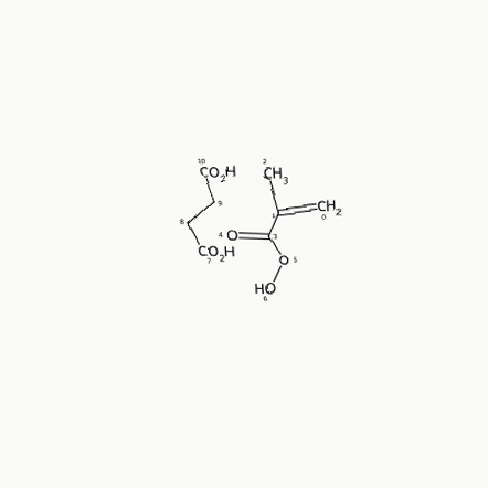 C=C(C)C(=O)OO.O=C(O)CCC(=O)O